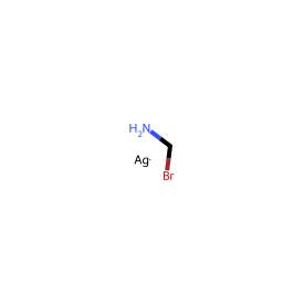 NCBr.[Ag]